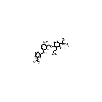 CCCc1c(OCc2cccc(Nc3cncc(C(=O)[O-])c3)c2)ccc(C(C)=O)c1O.[Na+]